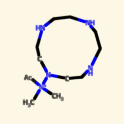 CC(=O)[N+](C)(C)N1CCNCCNCCNCC1